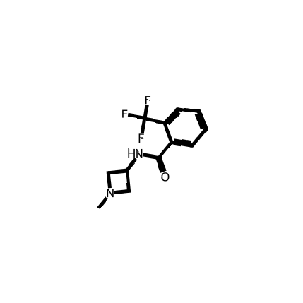 CN1CC(NC(=O)c2ccccc2C(F)(F)F)C1